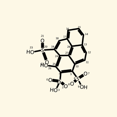 O=S(=O)(O)c1c(S(=O)(=O)O)c2ccc3cccc4cc(S(=O)(=O)O)c(c1O)c2c34